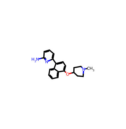 CN1CCC(Oc2ccc(-c3cccc(N)n3)c3ccccc23)CC1